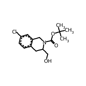 CC(C)(C)OC(=O)N1Cc2cc(Cl)ccc2CC1CO